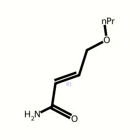 CCCOC/C=C/C(N)=O